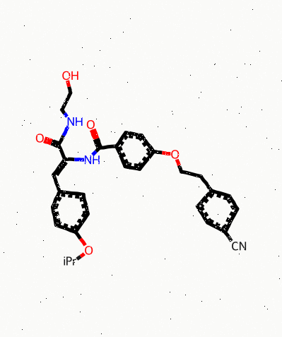 CC(C)Oc1ccc(C=C(NC(=O)c2ccc(OCCc3ccc(C#N)cc3)cc2)C(=O)NCCO)cc1